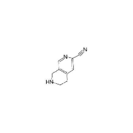 N#Cc1cc2c(cn1)CNCC2